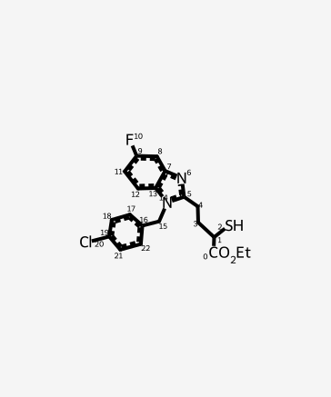 CCOC(=O)C(S)CCc1nc2cc(F)ccc2n1Cc1ccc(Cl)cc1